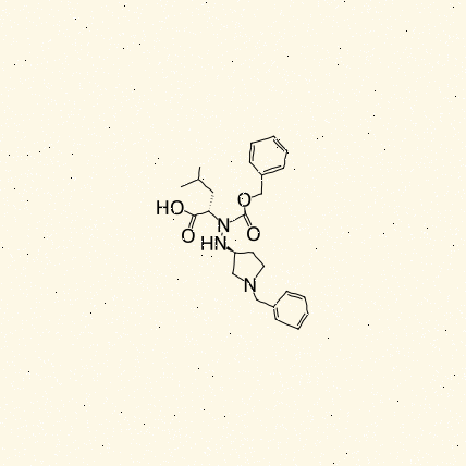 CC(C)C[C@@H](C(=O)O)N(N[C@H]1CCN(Cc2ccccc2)C1)C(=O)OCc1ccccc1